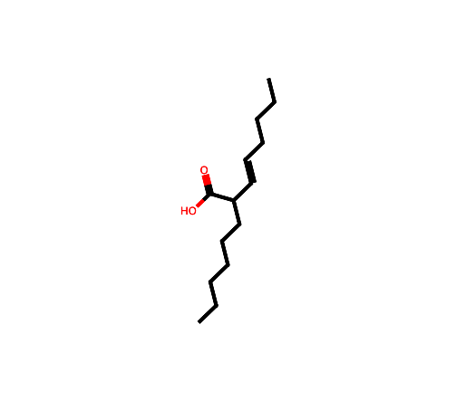 CCCCC=CC(CCCCCC)C(=O)O